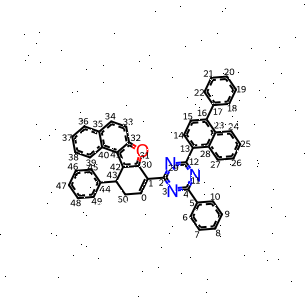 C1=C(c2nc(-c3ccccc3)nc(-c3ccc(-c4ccccc4)c4ccccc34)n2)c2oc3ccc4ccccc4c3c2C(c2ccccc2)C1